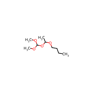 CCCCOC(C)OC(OC)OC